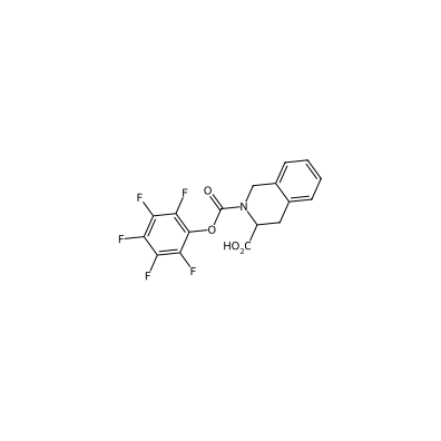 O=C(O)C1Cc2ccccc2CN1C(=O)Oc1c(F)c(F)c(F)c(F)c1F